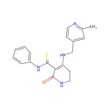 Cc1cc(CNC2=C(C(=S)Nc3ccccc3)C(=O)NCC2)ccn1